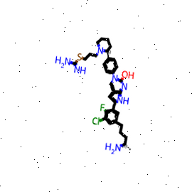 C[C@H](N)CCCc1cc(Cl)c(F)c(-c2cc3c([nH]2)=NC(O)N(c2ccc([C@@H]4CCCCN4CCCSC(=N)N)cc2)C=3)c1